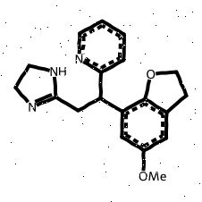 COc1cc2c(c(C(CC3=NCCN3)c3ccccn3)c1)OCC2